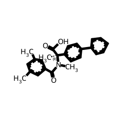 Cc1cc(C)cc(C(=O)N(C)[C@@](C)(C(=O)O)c2ccc(-c3ccccc3)cc2)c1